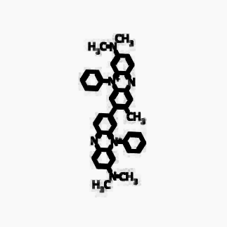 Cc1cc2nc3ccc(N(C)C)cc3[n+](-c3ccccc3)c2cc1-c1ccc2nc3ccc(N(C)C)cc3[n+](-c3ccccc3)c2c1